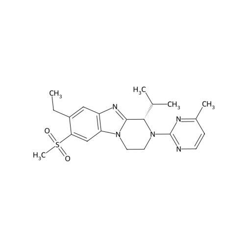 CCc1cc2nc3n(c2cc1S(C)(=O)=O)CCN(c1nccc(C)n1)[C@H]3C(C)C